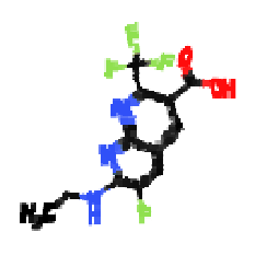 CCNc1nc2nc(C(F)(F)F)c(C(=O)O)cc2cc1F